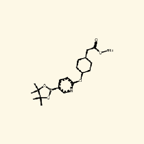 CC(C)(C)OC(=O)CC1CCC(Oc2ccc(B3OC(C)(C)C(C)(C)O3)cn2)CC1